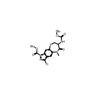 CN1C(=O)C(NC(=O)OC(C)(C)C)CSc2cc3c(cc21)c(Cl)nn3C(=O)OC(C)(C)C